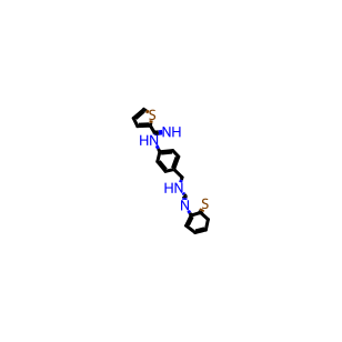 N=C(Nc1ccc(CNC=NC2=CC=CCC2=S)cc1)c1cccs1